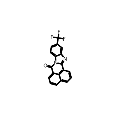 O=c1c2cccc3cccc(c32)c2nc3cc(C(F)(F)F)ccc3n12